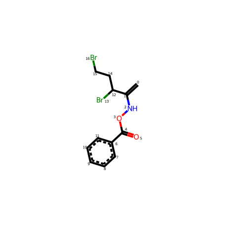 C=C(NOC(=O)c1ccccc1)C(Br)CCBr